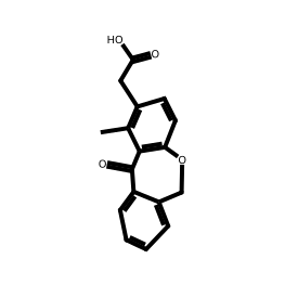 Cc1c(CC(=O)O)ccc2c1C(=O)c1ccccc1CO2